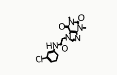 Cn1c(=O)c2c(ncn2CC(=O)NC2=CC(Cl)=CCC2)n(C)c1=O